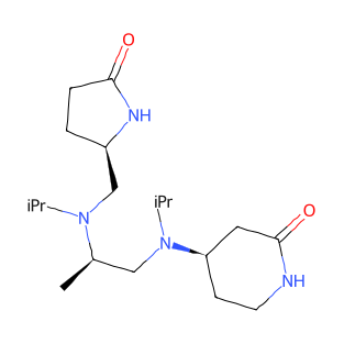 CC(C)N(C[C@@H](C)N(C[C@H]1CCC(=O)N1)C(C)C)[C@@H]1CCNC(=O)C1